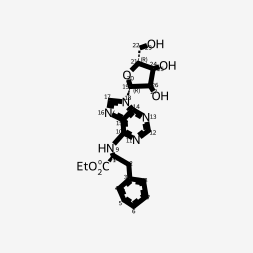 CCOC(=O)[C@H](Cc1ccccc1)Nc1ncnc2c1ncn2[C@@H]1O[C@H](CO)C(O)C1O